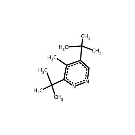 Cc1c(C(C)(C)C)cnnc1C(C)(C)C